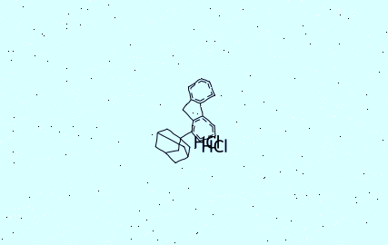 Cl.Cl.c1ccc2c(c1)Cc1c-2cccc1C12CC3CC(CC(C3)C1)C2